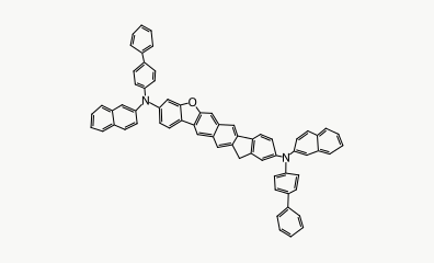 c1ccc(-c2ccc(N(c3ccc4c(c3)Cc3cc5cc6c(cc5cc3-4)oc3cc(N(c4ccc(-c5ccccc5)cc4)c4ccc5ccccc5c4)ccc36)c3ccc4ccccc4c3)cc2)cc1